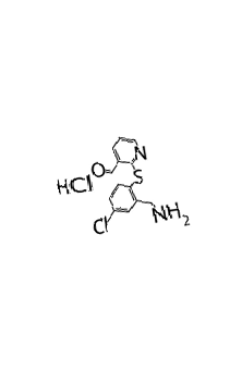 Cl.NCc1cc(Cl)ccc1Sc1ncccc1C=O